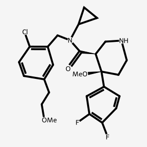 COCCc1ccc(Cl)c(CN(C(=O)[C@H]2CNCC[C@]2(OC)c2ccc(F)c(F)c2)C2CC2)c1